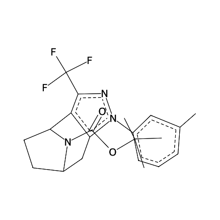 Cc1cccc(-n2nc(C(F)(F)F)c3c2CC2CCC3N2C(=O)OC(C)(C)C)c1